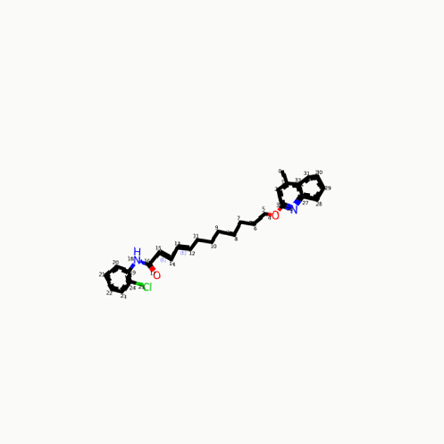 Cc1cc(OCCCCCCC/C=C/C=C/C(=O)Nc2ccccc2Cl)nc2ccccc12